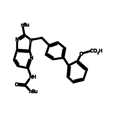 CCCCC(=O)Nc1ccc2nc(CCCC)n(Cc3ccc(-c4ccccc4OC(=O)O)cc3)c2n1